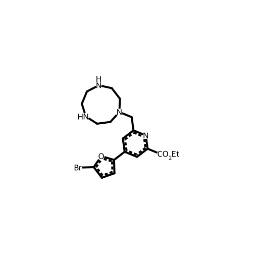 CCOC(=O)c1cc(-c2ccc(Br)o2)cc(CN2CCNCCNCC2)n1